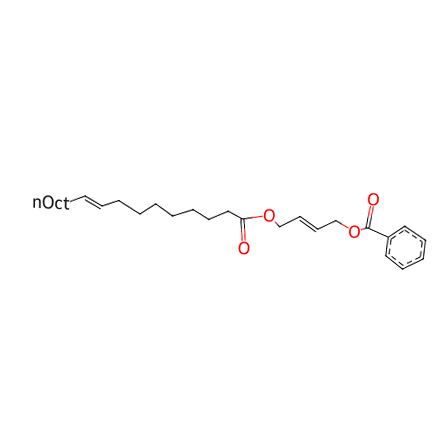 CCCCCCCCC=CCCCCCCCC(=O)OCC=CCOC(=O)c1ccccc1